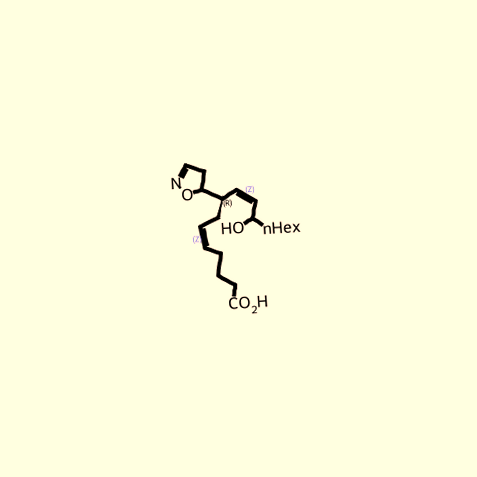 CCCCCCC(O)/C=C\[C@@H](C/C=C\CCCC(=O)O)C1CC=NO1